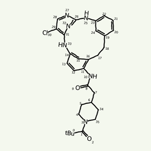 CC(C)(C)C(=O)N1CCC(CC(=O)Nc2ccc3cc2CCc2cccc(c2)Nc2ncc(Cl)c(n2)N3)CC1